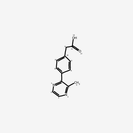 Cc1nccnc1-c1ccc(CC(=O)O)cc1